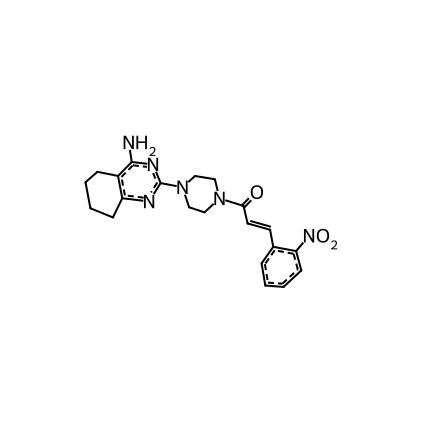 Nc1nc(N2CCN(C(=O)/C=C/c3ccccc3[N+](=O)[O-])CC2)nc2c1CCCC2